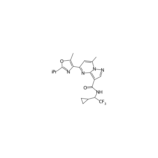 Cc1oc(C(C)C)nc1-c1cc(C)n2ncc(C(=O)NC(C3CC3)C(F)(F)F)c2n1